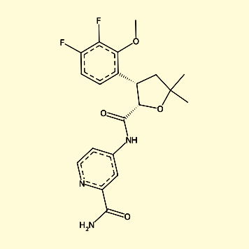 COc1c([C@@H]2CC(C)(C)O[C@@H]2C(=O)Nc2ccnc(C(N)=O)c2)ccc(F)c1F